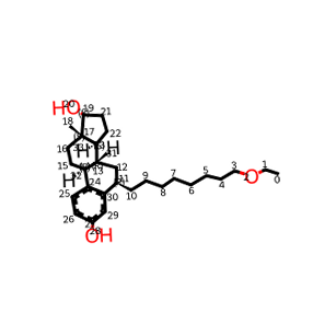 CCOCCCCCCCC[C@@H]1C[C@@H]2[C@H](CC[C@]3(C)[C@@H](O)CC[C@@H]23)c2ccc(O)cc21